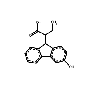 CCC(C(=O)O)C1c2ccccc2-c2cc(O)ccc21